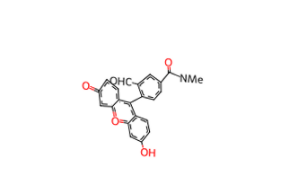 CNC(=O)c1ccc(-c2c3ccc(=O)cc-3oc3cc(O)ccc23)c(C=O)c1